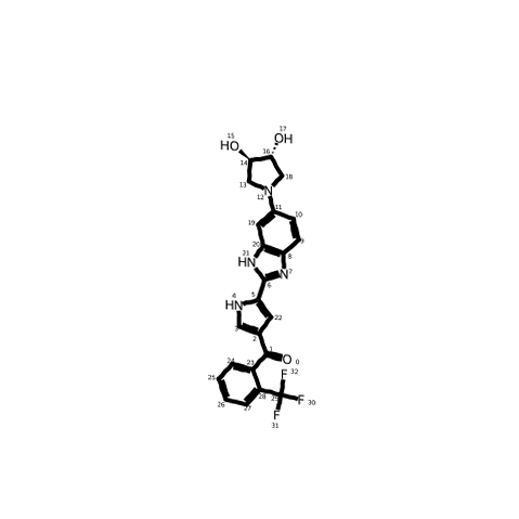 O=C(c1c[nH]c(-c2nc3ccc(N4C[C@@H](O)[C@H](O)C4)cc3[nH]2)c1)c1ccccc1C(F)(F)F